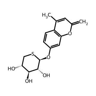 C=C1C=C(C)c2ccc(O[C@@H]3SC[C@@H](O)[C@H](O)[C@H]3O)cc2O1